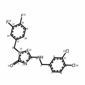 O=c1nc(NCc2ccc(Cl)c(Cl)c2)sn1Cc1ccc(F)c(F)c1